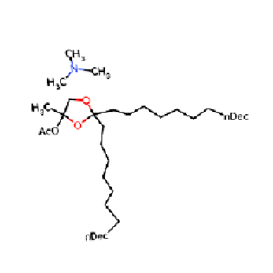 CCCCCCCCCCCCCCCCCC1(CCCCCCCCCCCCCCCCC)OCC(C)(OC(C)=O)O1.CN(C)C